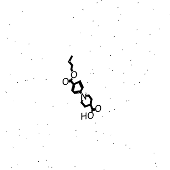 CCCCOC(=O)c1ccc(N2CCC(C(=O)O)CC2)cc1